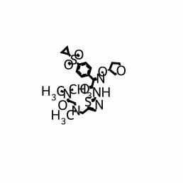 CN(CC(=O)N(C)C)Cc1cnc(NC(=O)/C(=N/O[C@@H]2CCOC2)c2ccc(S(=O)(=O)C3CC3)cc2)s1